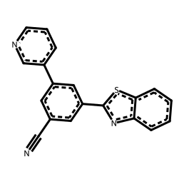 N#Cc1cc(-c2cccnc2)cc(-c2nc3ccccc3s2)c1